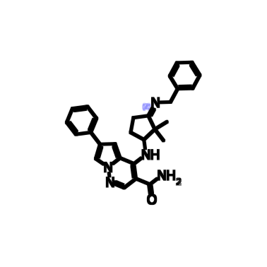 CC1(C)/C(=N\Cc2ccccc2)CCC1Nc1c(C(N)=O)cnn2cc(-c3ccccc3)cc12